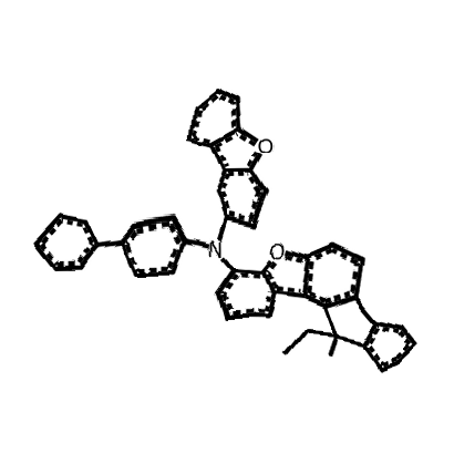 CCC1(C)c2ccccc2-c2ccc3oc4c(N(c5ccc(-c6ccccc6)cc5)c5ccc6oc7ccccc7c6c5)cccc4c3c21